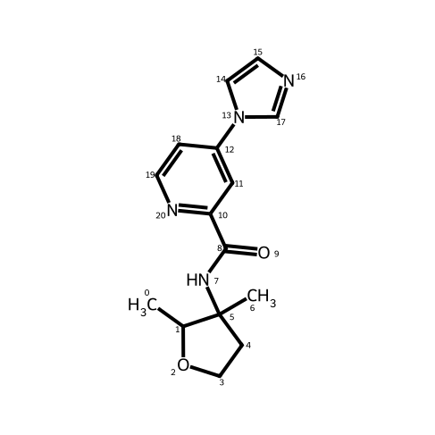 CC1OCCC1(C)NC(=O)c1cc(-n2ccnc2)ccn1